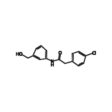 O=C(Cc1ccc(Cl)cc1)Nc1cccc(CO)c1